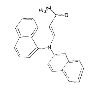 NC(=O)C=CN(c1ccc2ccccc2c1)c1cccc2ccccc12